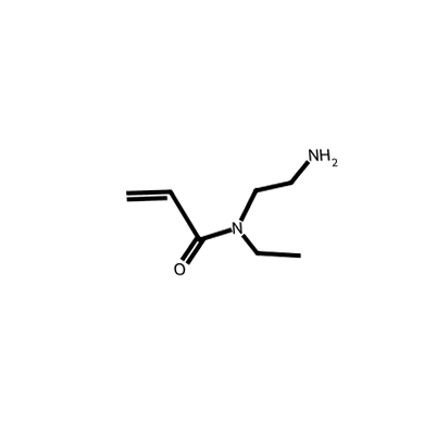 C=CC(=O)N(CC)CCN